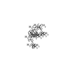 C=C(C)C(=O)OCC[N+](C)(C)C.C=C(C)C(=O)OCC[N+](C)(C)C.C=C(C)C(=O)OCC[N+](C)(C)C.C=CC(=O)[O-].CC=C(C)C(=O)[O-].[Cl-]